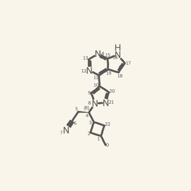 CC1CC([C@@H](CC#N)n2cc(-c3ncnc4[nH]ccc34)cn2)C1